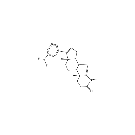 CN1C(=O)CC[C@@]2(C)C1=CCC1C2CC[C@]2(C)C(c3cncc(C(F)F)c3)=CCC12